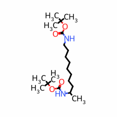 CC(CCCCCCCCNC(=O)OC(C)(C)C)NC(=O)OC(C)(C)C